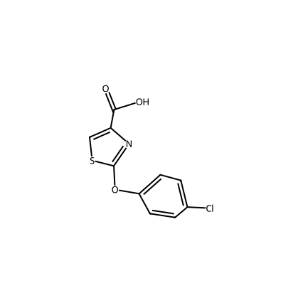 O=C(O)c1csc(Oc2ccc(Cl)cc2)n1